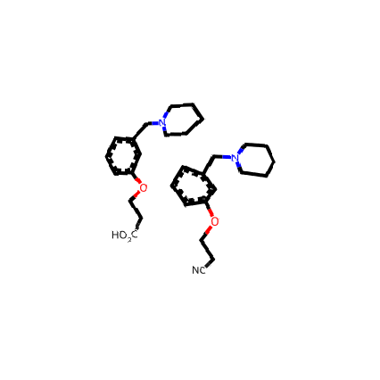 N#CCCOc1cccc(CN2CCCCC2)c1.O=C(O)CCOc1cccc(CN2CCCCC2)c1